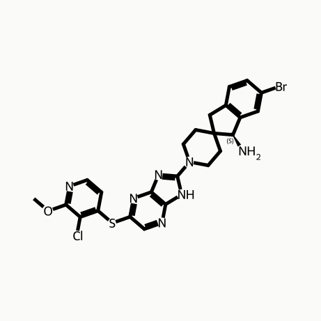 COc1nccc(Sc2cnc3[nH]c(N4CCC5(CC4)Cc4ccc(Br)cc4[C@H]5N)nc3n2)c1Cl